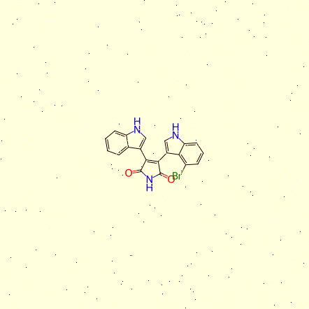 O=C1NC(=O)C(c2c[nH]c3cccc(Br)c23)=C1c1c[nH]c2ccccc12